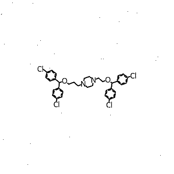 Clc1ccc(C(OCCCN2CCN(CCOC(c3ccc(Cl)cc3)c3ccc(Cl)cc3)CC2)c2ccc(Cl)cc2)cc1